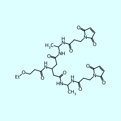 CCOCCC(=O)NC(CC(=O)NC(C)NC(=O)CCN1C(=O)C=CC1=O)CC(=O)NC(C)NC(=O)CCN1C(=O)C=CC1=O